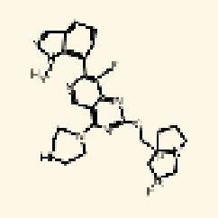 Cn1ncc2cccc(-c3ncc4c(N5CCNCC5)nc(OC[C@@]56CCCN5C[C@H](F)C6)nc4c3F)c21